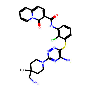 CC1(CN)CCN(c2nnc(Sc3cccc(NC(=O)c4ccc5ccccn5c4=O)c3Cl)c(N)n2)CC1